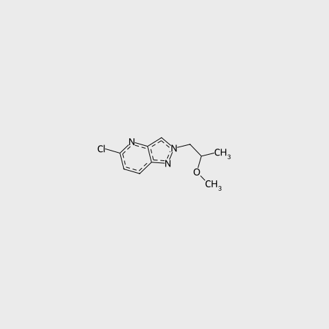 COC(C)Cn1cc2nc(Cl)ccc2n1